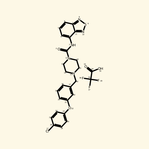 O=C(Nc1cccc2nsnc12)N1CCN(Cc2cccc(Oc3ccc(Cl)cc3)c2)CC1.O=C(O)C(F)(F)F